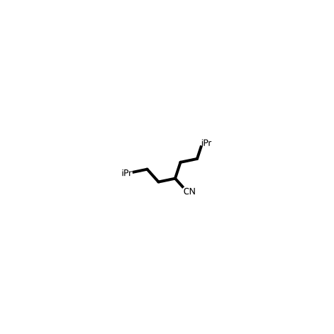 CC(C)CCC(C#N)CCC(C)C